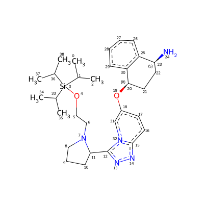 CC(C)[Si](OCCN1CCCC1c1nnc2ccc(O[C@@H]3CC[C@H](N)c4ccccc43)cn12)(C(C)C)C(C)C